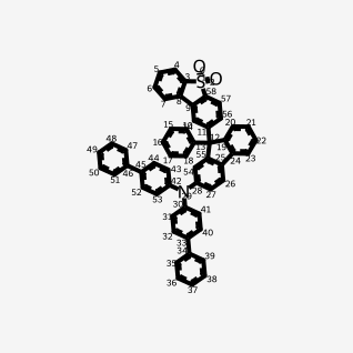 O=S1(=O)c2ccccc2-c2cc(C3(c4ccccc4)c4ccccc4-c4ccc(N(c5ccc(-c6ccccc6)cc5)c5ccc(-c6ccccc6)cc5)cc43)ccc21